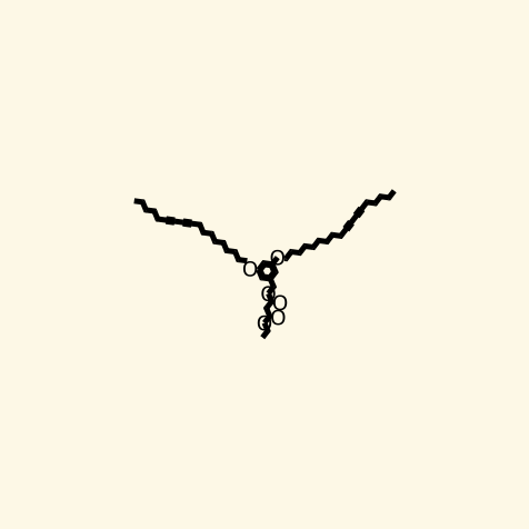 CCCCCC#CC#CCCCCCCCCCOc1cc(COC(=O)CC(=O)OCC)cc(OCCCCCCCCCC#CC#CCCCCC)c1